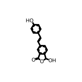 O=C1OC(O)c2ccc(C=Cc3ccc(O)cc3)cc21